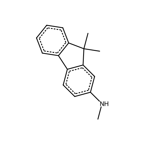 CNc1ccc2c(c1)C(C)(C)c1ccccc1-2